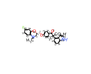 CN1C[C@@H](COc2ccc(C(=O)C(C)(C(=O)O)c3cccc4[nH]ccc34)cc2)Oc2cc(F)ccc21